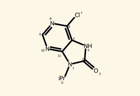 CC(C)n1c(=O)[nH]c2c(Cl)ncnc21